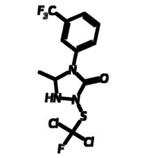 CC1NN(SC(F)(Cl)Cl)C(=O)N1c1cccc(C(F)(F)F)c1